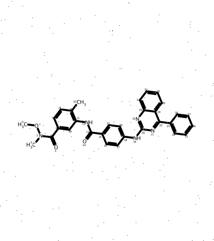 CON(C)C(=O)c1ccc(C)c(NC(=O)c2ccc(Nc3nc(-c4ccccc4)c4ccccc4n3)cc2)c1